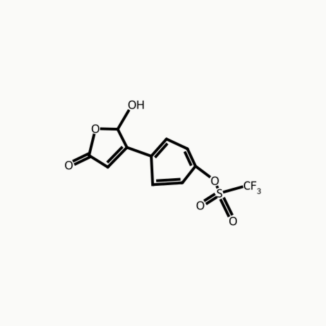 O=C1C=C(c2ccc(OS(=O)(=O)C(F)(F)F)cc2)C(O)O1